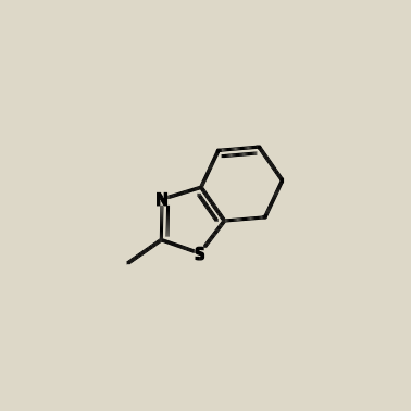 Cc1nc2c(s1)CCC=C2